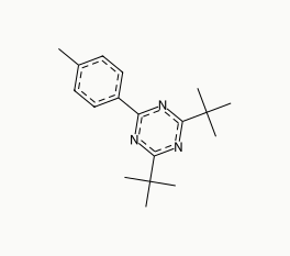 Cc1ccc(-c2nc(C(C)(C)C)nc(C(C)(C)C)n2)cc1